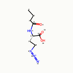 CCCC(=O)N[C@@H](CCN=[N+]=[N-])C(=O)O